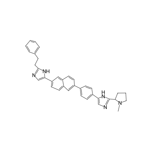 CN1CCCC1c1ncc(-c2ccc(-c3ccc4cc(-c5cnc(CCc6ccccc6)[nH]5)ccc4c3)cc2)[nH]1